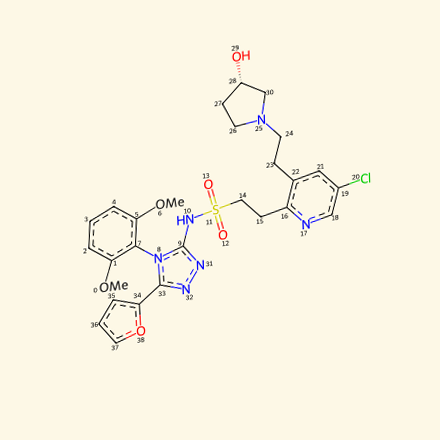 COc1cccc(OC)c1-n1c(NS(=O)(=O)CCc2ncc(Cl)cc2CCN2CC[C@H](O)C2)nnc1-c1ccco1